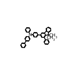 CC1(C)c2ccccc2-c2cc(-c3ccc(N(c4ccccc4)c4ccc(-c5ccccc5)cc4)cc3)cc(-c3ccccc3)c21